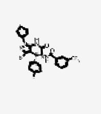 O=C(N[C@H]1C(=O)Nc2c(c(Br)nn2-c2ccccc2)[C@H]1c1ccc(F)cc1)c1cccc(C(F)(F)F)c1